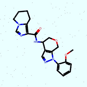 COc1ccccc1-n1ncc2c1COCC2NC(=O)c1ncn2c1CCCC2